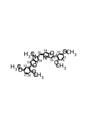 COc1ccc(OC)c(-c2cc3c(o2)=C/C(=C/c2cc4oc(-c5cc(OC)ccc5OC)cc4n2C)N=3)c1